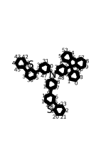 c1ccc(C2(c3ccc(N(c4ccc(-c5ccc6sc7ccccc7c6c5)cc4)c4cccc(-c5cccc6c5sc5ccccc56)c4)cc3)c3ccccc3-c3ccccc32)cc1